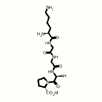 CC(C)[C@H](NC(=O)CNC(=O)CNC(=O)[C@@H](N)CCCCN)C(=O)N1CCC[C@H]1C(=O)O